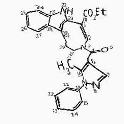 CCOC(=O)C1=CN(C(=O)c2cnn(-c3ccccc3)c2C)CCc2c1[nH]c1ccccc21